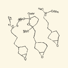 CCO[SiH](CCCC1CCC2OC2C1)OCC.COC1(CCC2CCC3OC3C2)CCC[Si](OC)(OC)O1.CO[SiH](CCCC1CCC2OC2C1)OC